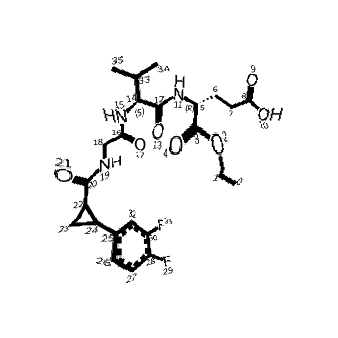 CCOC(=O)[C@@H](CCC(=O)O)NC(=O)[C@@H](NC(=O)CNC(=O)C1CC1c1ccc(F)c(F)c1)C(C)C